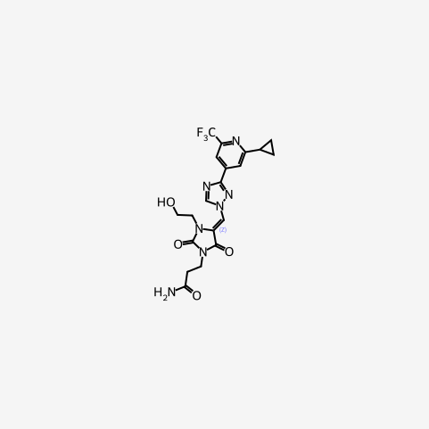 NC(=O)CCN1C(=O)/C(=C/n2cnc(-c3cc(C4CC4)nc(C(F)(F)F)c3)n2)N(CCO)C1=O